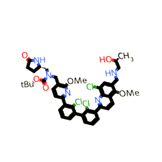 COc1nc(-c2cccc(-c3cccc(-c4ccc5c(OC)c(CNC[C@H](C)O)cc(Cl)c5n4)c3Cl)c2Cl)ccc1CN(C[C@@H]1CCC(=O)N1)C(=O)OC(C)(C)C